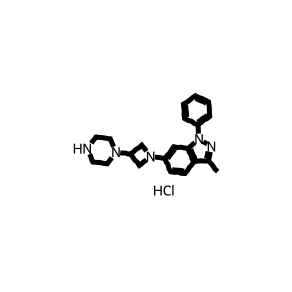 Cc1nn(-c2ccccc2)c2cc(N3CC(N4CCNCC4)C3)ccc12.Cl